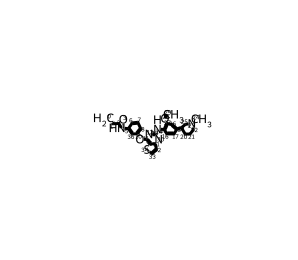 C=CC(=O)Nc1cccc(Oc2nc(Nc3ccc(C4CCCN(C)C4)cc3OC)nc3ccsc23)c1